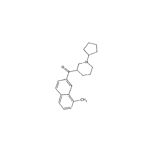 Cc1cccc2ccc(C(=O)C3CCCN(C4CCCC4)C3)cc12